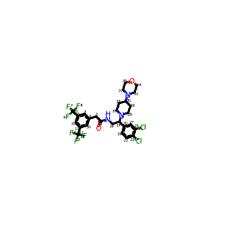 O=C(Cc1cc(C(F)(F)F)cc(C(F)(F)F)c1)NCC(c1ccc(Cl)c(Cl)c1)N1CCC(N2CCOCC2)CC1